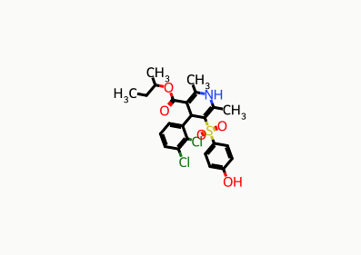 CCC(C)OC(=O)C1=C(C)NC(C)=C(S(=O)(=O)c2ccc(O)cc2)C1c1cccc(Cl)c1Cl